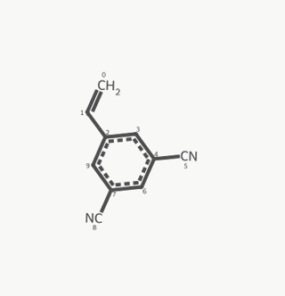 C=[C]c1cc(C#N)cc(C#N)c1